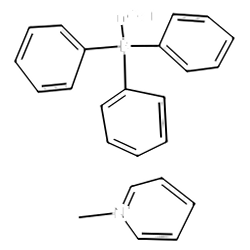 CCCCCCCC[B-](c1ccccc1)(c1ccccc1)c1ccccc1.C[n+]1ccccc1